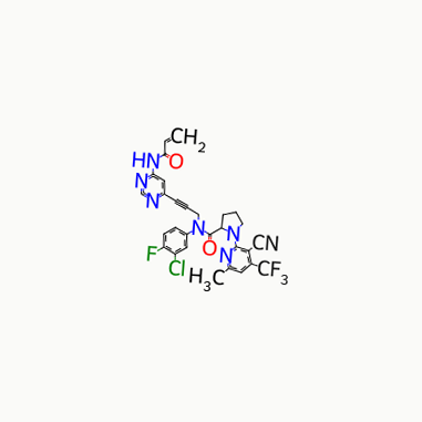 C=CC(=O)Nc1cc(C#CCN(C(=O)C2CCCN2c2nc(C)cc(C(F)(F)F)c2C#N)c2ccc(F)c(Cl)c2)ncn1